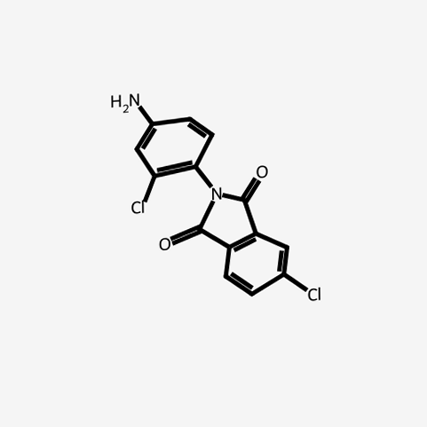 Nc1ccc(N2C(=O)c3ccc(Cl)cc3C2=O)c(Cl)c1